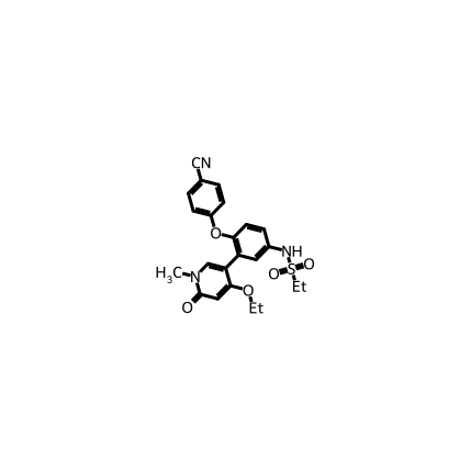 CCOc1cc(=O)n(C)cc1-c1cc(NS(=O)(=O)CC)ccc1Oc1ccc(C#N)cc1